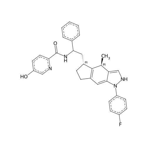 C[C@H]1C2=CNN(c3ccc(F)cc3)C2=CC2=C1[C@@H](CC(NC(=O)c1ccc(O)cn1)c1ccccc1)CC2